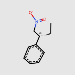 CC[C@@H](C[N+](=O)[O-])c1ccccc1